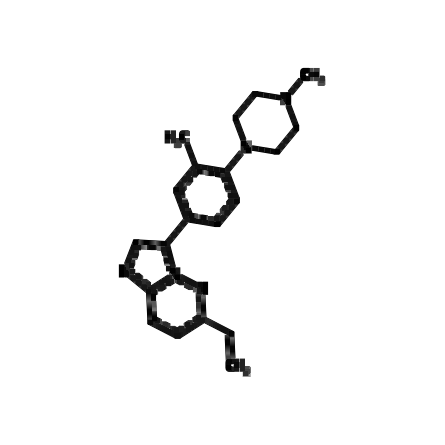 C=Cc1ccc2ncc(-c3ccc(N4CCN(C)CC4)c(C)c3)n2n1